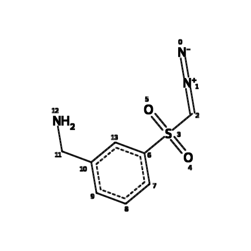 [N-]=[N+]=CS(=O)(=O)c1cccc(CN)c1